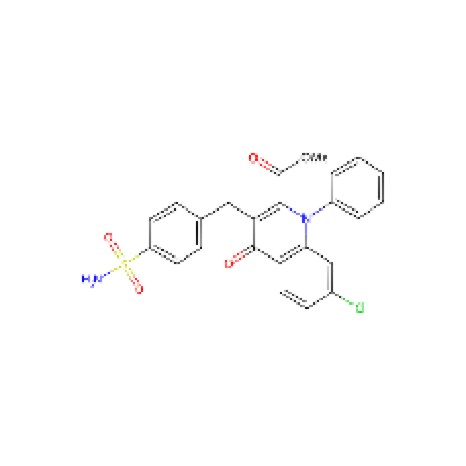 COC(=O)c1c(Cc2ccc(S(N)(=O)=O)cc2)c(=O)c2ccc(Cl)cc2n1-c1ccccc1